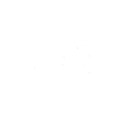 CCCCCCCCCn1cc2c(N)ncnc2n1.Cl